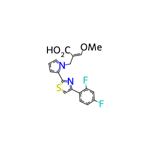 CO/C=C(/Cn1cccc1-c1nc(-c2ccc(F)cc2F)cs1)C(=O)O